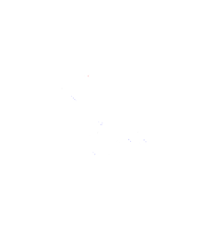 C[C@](CO)(N[C@H]1CC[C@H](NC(=O)c2cc(-n3ccnc3)cc3cc[nH]c23)CC1)C(F)(F)F